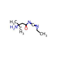 CCN=C=NC(=O)CC(C)(C)N